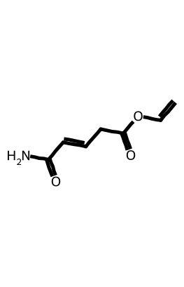 C=COC(=O)CC=CC(N)=O